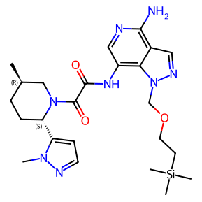 C[C@@H]1CC[C@@H](c2ccnn2C)N(C(=O)C(=O)Nc2cnc(N)c3cnn(COCC[Si](C)(C)C)c23)C1